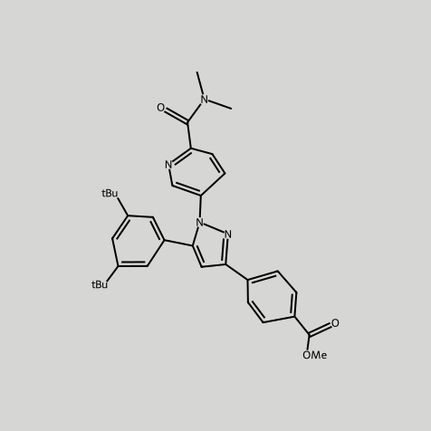 COC(=O)c1ccc(-c2cc(-c3cc(C(C)(C)C)cc(C(C)(C)C)c3)n(-c3ccc(C(=O)N(C)C)nc3)n2)cc1